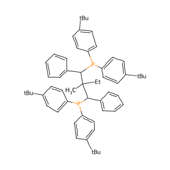 CCC(C)(C(c1ccccc1)P(c1ccc(C(C)(C)C)cc1)c1ccc(C(C)(C)C)cc1)C(c1ccccc1)P(c1ccc(C(C)(C)C)cc1)c1ccc(C(C)(C)C)cc1